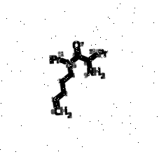 C=CCCCN(C(=O)C(N)C(C)C)C(C)C